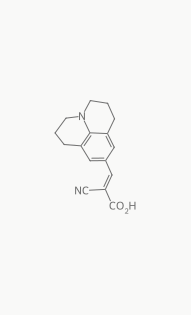 N#C/C(=C\c1cc2c3c(c1)CCCN3CCC2)C(=O)O